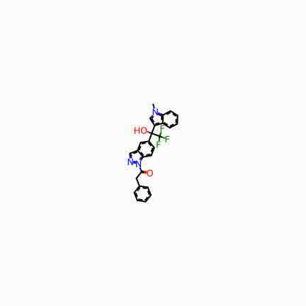 Cn1cc(C(O)(c2ccc3c(cnn3C(=O)Cc3ccccc3)c2)C(F)(F)F)c2ccccc21